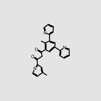 Cc1ccnc(C(=O)CC(=O)c2cc(-c3ccccn3)cc(-c3ccccn3)c2C)c1